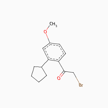 COc1ccc(C(=O)CBr)c(C2CCCC2)c1